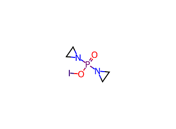 O=P(OI)(N1CC1)N1CC1